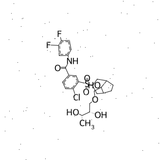 C[C@H](O)[C@@H](O)COCC1(O)C2CCC1CC(S(=O)(=O)c1cc(C(=O)Nc3ccc(F)c(F)c3)ccc1Cl)C2